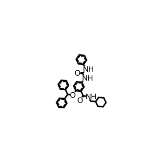 O=C(Nc1ccccc1)Nc1ccc(OC(c2ccccc2)c2ccccc2)c(C(=O)NCC2CCCCC2)c1